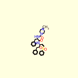 CN1CCN(C(=O)NC(Cc2ccccc2)C(=O)NC(/C=C\S(=O)(=O)c2ccccc2)CCc2ccccc2)CC1